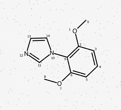 COc1cccc(OC)c1-n1[c]ncc1